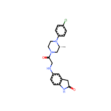 C[C@@H]1CN(C(=O)CNc2ccc3c(c2)CC(=O)N3)CCN1c1ccc(Cl)cc1